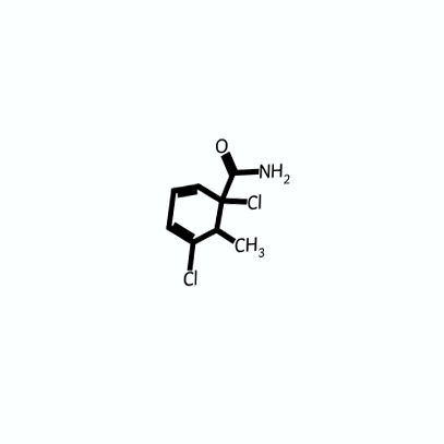 CC1C(Cl)=CC=CC1(Cl)C(N)=O